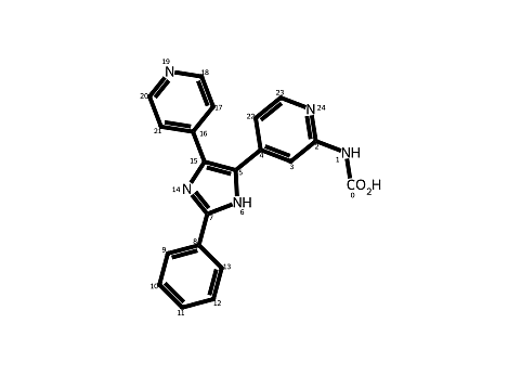 O=C(O)Nc1cc(-c2[nH]c(-c3ccccc3)nc2-c2ccncc2)ccn1